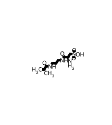 C=C(C)C(=O)NCCCNC(=O)C(N)CS(=O)(=O)O